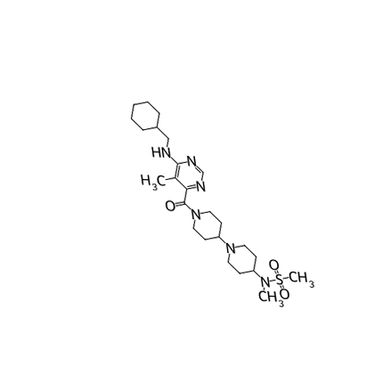 Cc1c(NCC2CCCCC2)ncnc1C(=O)N1CCC(N2CCC(N(C)S(C)(=O)=O)CC2)CC1